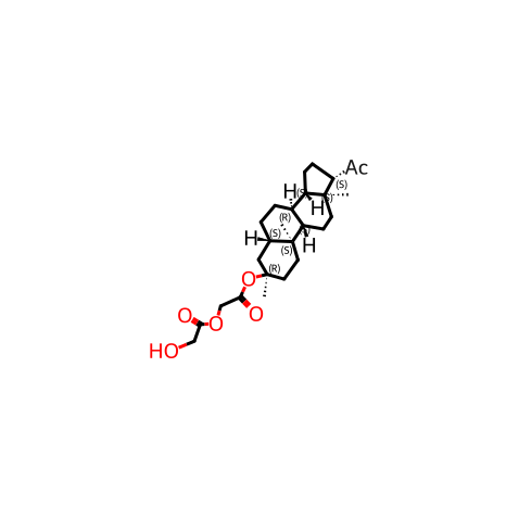 CC(=O)[C@H]1CC[C@H]2[C@@H]3CC[C@H]4C[C@](C)(OC(=O)COC(=O)CO)CC[C@]4(C)[C@H]3CC[C@]12C